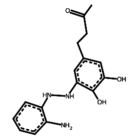 CC(=O)CCc1cc(O)c(O)c(NNc2ccccc2N)c1